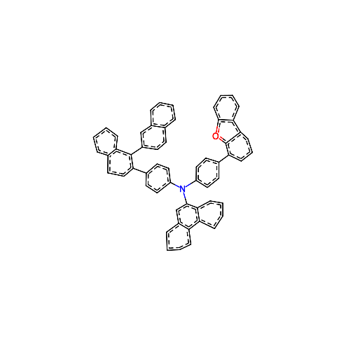 c1ccc2cc(-c3c(-c4ccc(N(c5ccc(-c6cccc7c6oc6ccccc67)cc5)c5cc6ccccc6c6ccccc56)cc4)ccc4ccccc34)ccc2c1